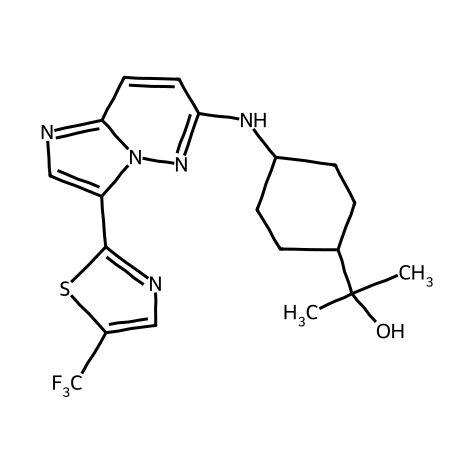 CC(C)(O)C1CCC(Nc2ccc3ncc(-c4ncc(C(F)(F)F)s4)n3n2)CC1